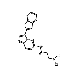 CCN(CC)CCC(=O)Nc1ccc2ncc(-c3cc4ccccc4o3)n2n1